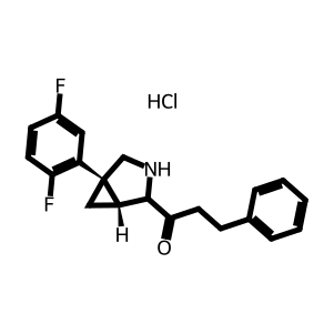 Cl.O=C(CCc1ccccc1)C1NC[C@@]2(c3cc(F)ccc3F)C[C@@H]12